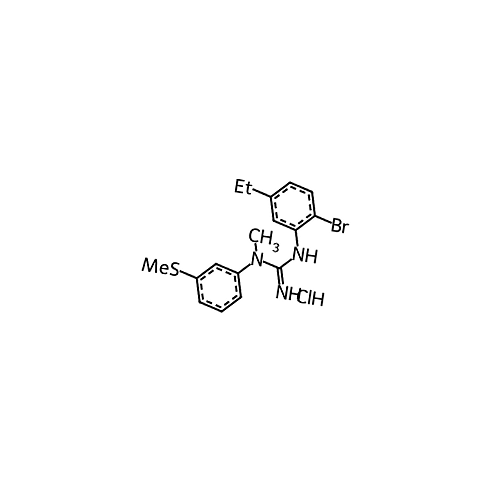 CCc1ccc(Br)c(NC(=N)N(C)c2cccc(SC)c2)c1.Cl